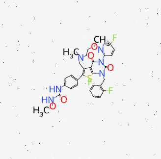 COCCN(C)Cc1c(-c2ccc(NC(=O)NOC)cc2)sc2c1c(=O)n(-c1ccc(F)cn1)c(=O)n2Cc1c(F)cccc1F